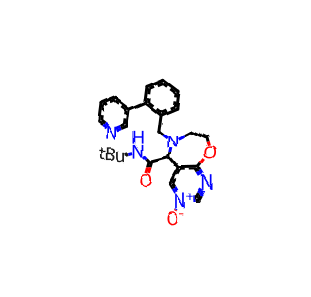 CC(C)(C)NC(=O)C1c2c[n+]([O-])cnc2OCCN1Cc1ccccc1-c1cccnc1